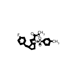 COC(=O)c1cc2c(n1S(=O)(=O)c1ccc(C)cc1)CC/C2=C/c1ccc(F)cc1